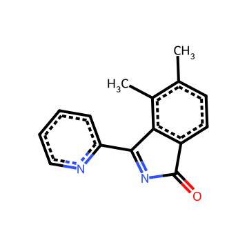 Cc1ccc2c(c1C)C(c1ccccn1)=NC2=O